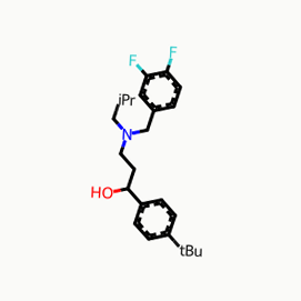 CC(C)CN(CCC(O)c1ccc(C(C)(C)C)cc1)Cc1ccc(F)c(F)c1